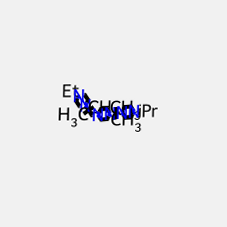 CCN1CCN(C(C)(C)CN2CCN(C(C)(C)N3CCN(C(C)C)CC3)CC2)CC1